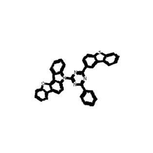 c1ccc(-c2nc(-c3ccc4sc5ccccc5c4c3)nc(-n3c4ccccc4c4c5oc6ccccc6c5ccc43)n2)cc1